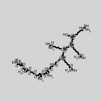 CCNC(=O)c1cc(NC(=O)c2nc(NC(=O)CCNC(=O)c3cc(NC(=O)c4nc(NC(=O)CCNC(=O)COCCOP(=O)(OCCCCCCNC(=N)N)OCCOP(=O)(OCCCCCCNC(=N)N)OCCOP(=O)(OCCCCCCNC(=N)N)OCCOP(=O)(OCCO)OCCCCCCNC(=N)N)cn4C)cn3C)cn2C)cn1C